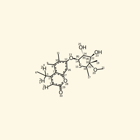 [2H]c1c(C([2H])([2H])C)c2c(C)c(C)c(O[C@@H]3SC(C)[C@@](C)(OC)[C@H](O)[C@H]3O)cc2oc1=O